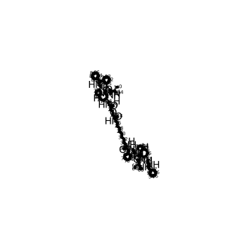 CC[C@H](NC)C(=O)N[C@@H]1C(=O)N2[C@@H](CC[C@@H]1CNC(=O)COCC(=O)NCCCCCCCCNC(=O)[C@@H](NC(=O)[C@@H]1CC[C@@H]3CC[C@H](CCNCc4ccccc4)[C@H](NC(=O)[C@H](CC)NC)C(=O)N31)c1ccccc1)CC[C@H]2C(=O)NC(c1ccccc1)c1ccccc1